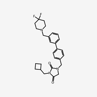 O=C1CN(Cc2ccc(-c3cccc(CN4CCC(F)(F)CC4)c3)cc2)C(=O)N1CC1CCC1